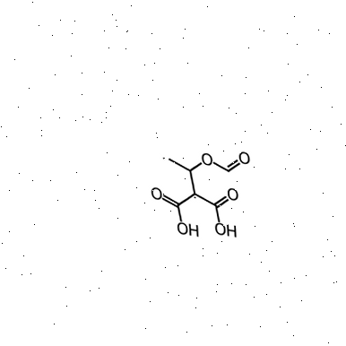 [CH2]C(OC=O)[C](C(=O)O)C(=O)O